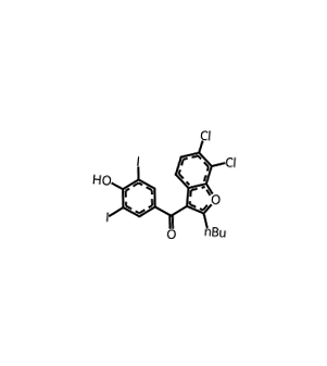 CCCCc1oc2c(Cl)c(Cl)ccc2c1C(=O)c1cc(I)c(O)c(I)c1